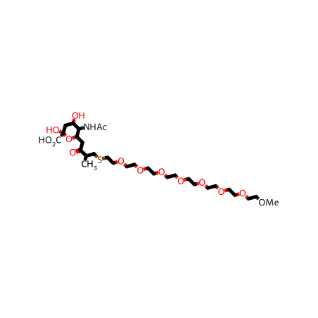 COCCOCCOCCOCCOCCOCCOCCOCCSCC(C)C(=O)CC1OC(O)(C(=O)O)CC(O)C1NC(C)=O